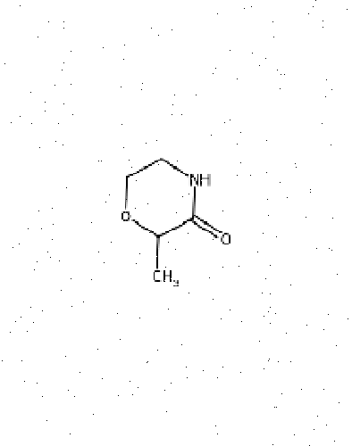 CC1OCCNC1=O